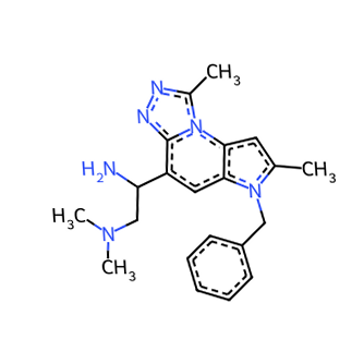 Cc1cc2c(cc(C(N)CN(C)C)c3nnc(C)n32)n1Cc1ccccc1